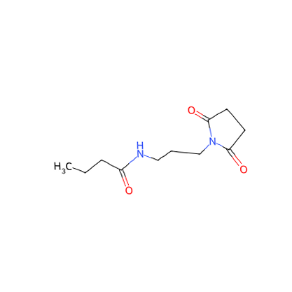 CCCC(=O)NCCCN1C(=O)CCC1=O